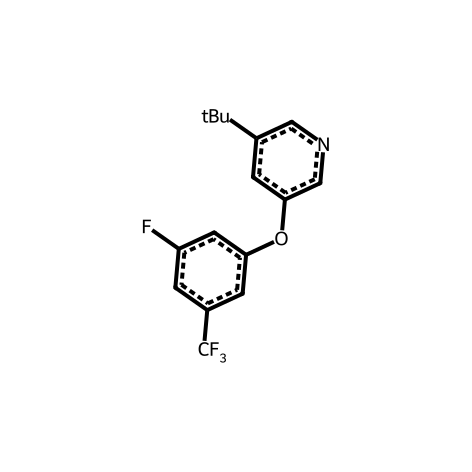 CC(C)(C)c1cncc(Oc2cc(F)cc(C(F)(F)F)c2)c1